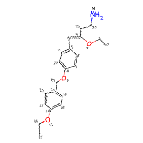 CCOC(=Cc1ccc(OCc2ccc(OCC)cc2)cc1)CCN